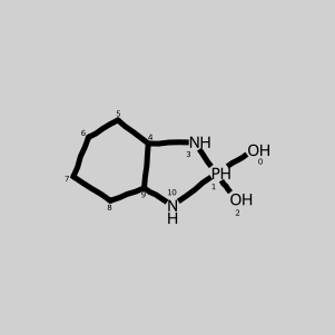 O[PH]1(O)NC2CCCCC2N1